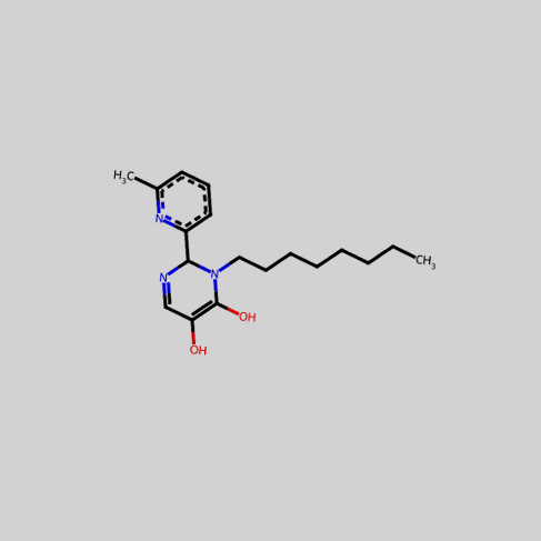 CCCCCCCCN1C(O)=C(O)C=NC1c1cccc(C)n1